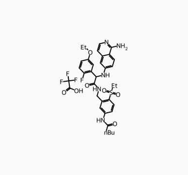 CCCCC(=O)Nc1ccc(S(=O)(=O)CC)c(CNC(=O)C(Nc2ccc3c(N)nccc3c2)c2cc(OCC)ccc2F)c1.O=C(O)C(F)(F)F